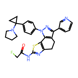 O=C(CF)Nc1nc2c(s1)-c1c(c(-c3cccnc3)nn1-c1ccc(C3(N4CCCC4)CC3)cc1)CC2